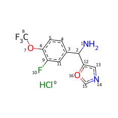 Cl.NC(c1ccc(OC(F)(F)F)c(F)c1)c1cnco1